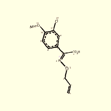 C=CCO/N=C(\C(=O)O)c1ccc(OC)c(Cl)c1